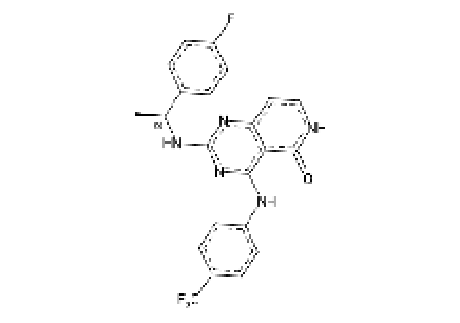 C[C@H](Nc1nc(Nc2ccc(C(F)(F)F)cc2)c2c(=O)[nH]ccc2n1)c1ccc(F)cc1